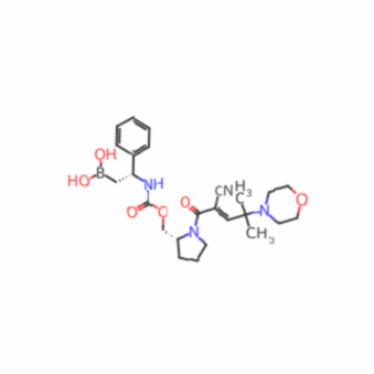 CC(C)(C=C(C#N)C(=O)N1CCC[C@@H]1COC(=O)N[C@H](CB(O)O)c1ccccc1)N1CCOCC1